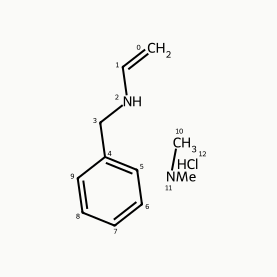 C=CNCc1ccccc1.CNC.Cl